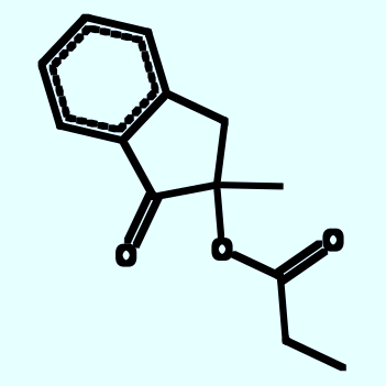 CCC(=O)OC1(C)Cc2ccccc2C1=O